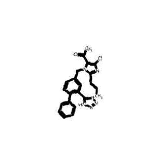 CCCc1nc(Cl)c(C(=O)O)n1Cc1ccc(-c2ccccc2)c(-c2nnn[nH]2)c1